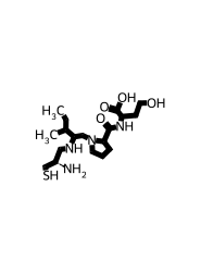 CCC(C)C(CN1CCCC1C(=O)NC(CCO)C(=O)O)NC[C@H](N)CS